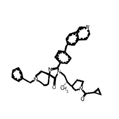 C[C@H](CN1C(=O)C2(CCN(Cc3ccccc3)CC2)N=C1c1ccc(-c2ccc3cnccc3c2)cc1)C1CCN(C(=O)C2CC2)C1